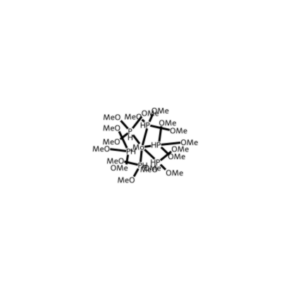 CO[PH](OC)(OC)[Mo]([PH](OC)(OC)OC)([PH](OC)(OC)OC)([PH](OC)(OC)OC)([PH](OC)(OC)OC)[PH](OC)(OC)OC